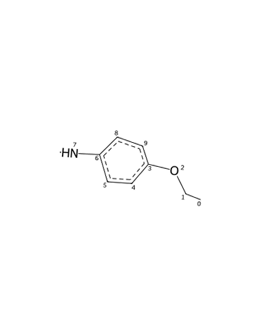 CCOc1ccc([NH])cc1